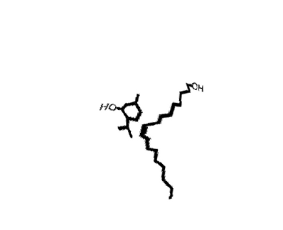 CC1CCC(C(C)C)C(O)C1.CCCCCCCC/C=C\CCCCCCCCO